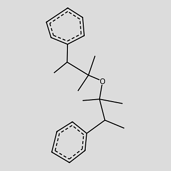 CC(c1ccccc1)C(C)(C)OC(C)(C)C(C)c1ccccc1